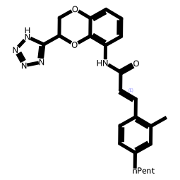 CCCCCc1ccc(/C=C/C(=O)Nc2cccc3c2OC(c2nnn[nH]2)CO3)c(C)c1